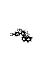 OC1=C(c2ccc(Cl)cc2)CC(O)(c2cccc3ccccc23)C=C1